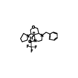 O=C(N1CCN(Cc2ccccc2)C2COCC(N3CCCC3)[C@H]21)C(F)(F)F